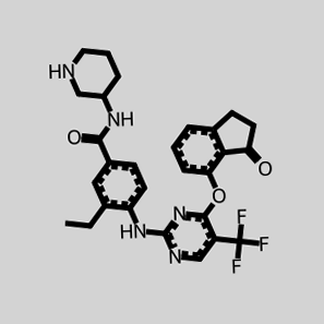 CCc1cc(C(=O)NC2CCCNC2)ccc1Nc1ncc(C(F)(F)F)c(Oc2cccc3c2C(=O)CC3)n1